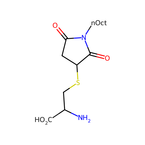 CCCCCCCCN1C(=O)CC(SCC(N)C(=O)O)C1=O